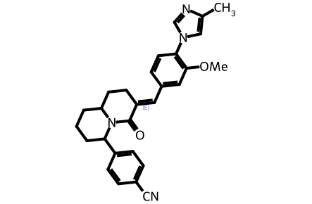 COc1cc(/C=C2\CCC3CCCC(c4ccc(C#N)cc4)N3C2=O)ccc1-n1cnc(C)c1